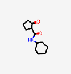 O=C1CCCC1C(=O)NC1CCCCC1